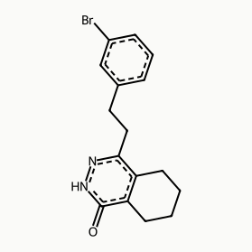 O=c1[nH]nc(CCc2cccc(Br)c2)c2c1CCCC2